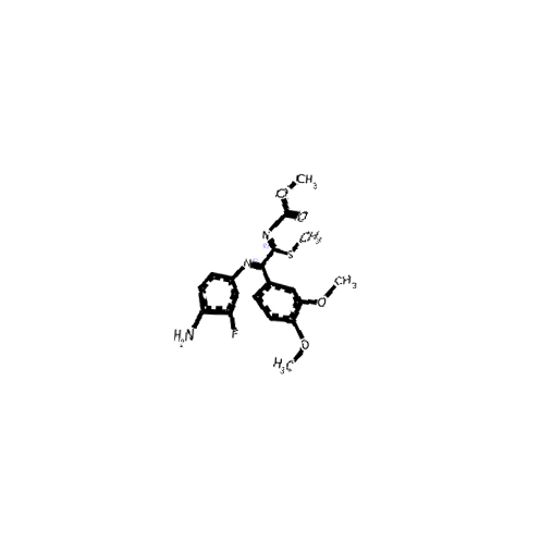 COC(=O)/N=C(SC)/C(=N/c1ccc(N)c(F)c1)c1ccc(OC)c(OC)c1